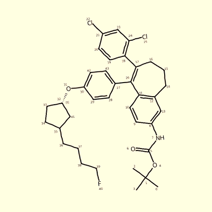 CC(C)(C)OC(=O)Nc1ccc2c(c1)CCCC(c1ccc(Cl)cc1Cl)=C2c1ccc(O[C@H]2CCC(CCCCF)C2)cc1